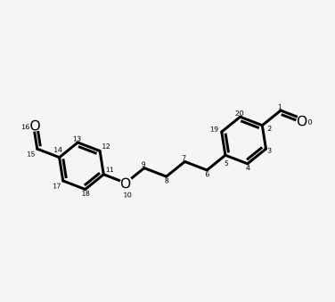 O=Cc1ccc(CCCCOc2ccc(C=O)cc2)cc1